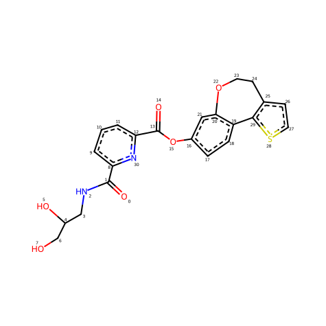 O=C(NCC(O)CO)c1cccc(C(=O)Oc2ccc3c(c2)OCCc2ccsc2-3)n1